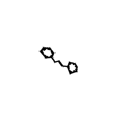 [CH](/C=C/c1ccccc1)c1ccccc1